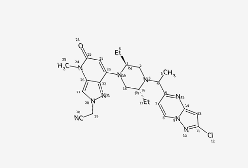 CC[C@H]1CN(C(C)c2ccn3nc(Cl)cc3n2)[C@H](CC)CN1c1cc(=O)n(C)c2cn(CC#N)nc12